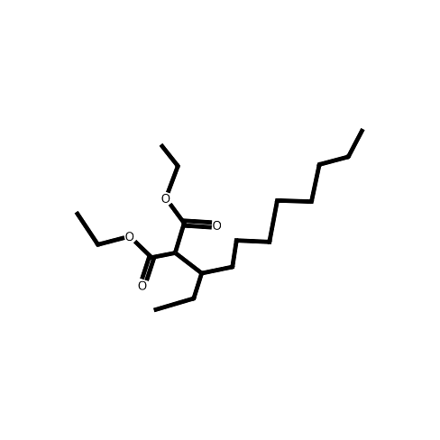 CCCCCCCCC(CC)C(C(=O)OCC)C(=O)OCC